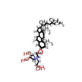 CC(C)CCCC(C)C1CCC2C3CC=C4CC(OCC[N+](CCO)(CCO)CCO)CCC4(C)C3CCC12C